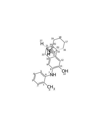 Cc1ccccc1Nc1cc2c(cc1O)[C@]13CCCC[C@@H]1[C@H](C2)NCC3